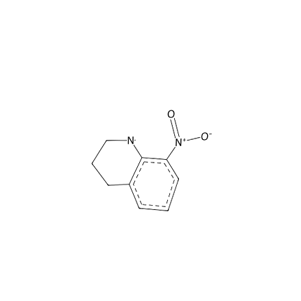 O=[N+]([O-])c1cccc2c1[N]CCC2